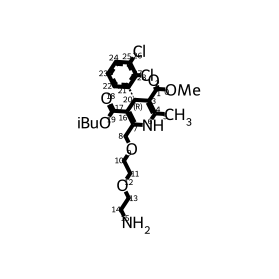 COC(=O)C1=C(C)NC(COCCOCCN)=C(C(=O)OCC(C)C)[C@@H]1c1cccc(Cl)c1Cl